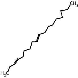 [CH2]CC=CCCCCC=CCCCCCCCC